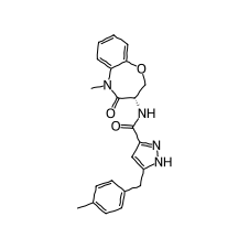 Cc1ccc(Cc2cc(C(=O)N[C@H]3COc4ccccc4N(C)C3=O)n[nH]2)cc1